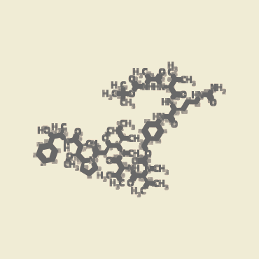 CCC(C)[C@@H]([C@@H](CC(=O)N1CCC[C@H]1[C@H](OC)[C@@H](C)C(=O)N[C@H](C)C(O)c1ccccc1)OC)N(C)C(=O)[C@@H](NC(=O)[C@H](C(C)C)N(C)C(=O)OCc1ccc(NC(=O)[C@H](CCCNC(N)=O)NC(=O)[C@@H](NC(=O)C(C)NC(=O)OC(C)(C)C)C(C)C)cc1)C(C)C